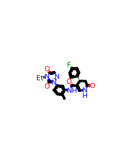 CCn1c(=O)cnn(-c2ccc(C)c(NC(=O)C3=CNC(=O)C[C@H]3c3ccc(F)cc3)c2)c1=O